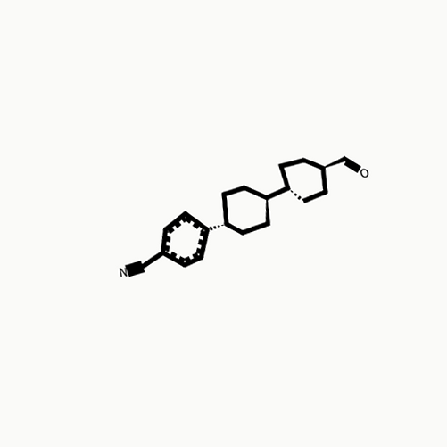 N#Cc1ccc([C@H]2CC[C@H]([C@H]3CC[C@H](C=O)CC3)CC2)cc1